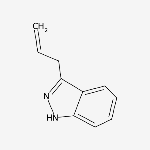 C=CCc1n[nH]c2ccccc12